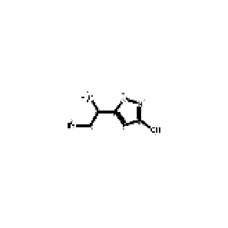 CC(C)CC(C)c1cc(O)no1